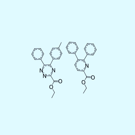 CCOC(=O)c1ccc(-c2ccccc2)c(-c2ccccc2)n1.CCOC(=O)c1nnc(-c2ccccc2)c(-c2ccc(C)cc2)n1